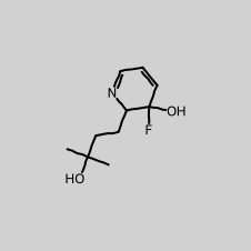 CC(C)(O)CCC1N=CC=CC1(O)F